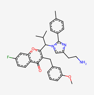 COc1cccc(Cc2c(C(C(C)C)n3cc(CCN)nc3-c3ccc(C)cc3)oc3cc(F)ccc3c2=O)c1